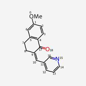 COc1ccc2c(c1)CC/C(=C/c1cccnc1)C2=O